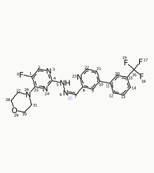 Fc1cnc(N/N=C\c2cc(-c3cccc(C(F)(F)F)c3)ccn2)nc1N1CCOCC1